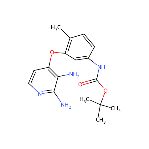 Cc1ccc(NC(=O)OC(C)(C)C)cc1Oc1ccnc(N)c1N